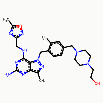 Cc1nc(CNc2nc(N)nc3c(C)nn(Cc4ccc(CN5CCN(CCO)CC5)cc4C)c23)no1